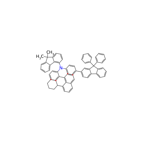 CC1(C)c2ccccc2-c2c(N(c3ccc(-c4ccc5c(c4)C(c4ccccc4)(c4ccccc4)c4ccccc4-5)cc3)c3ccccc3-c3cccc4cccc(C5CCCCC5)c34)cccc21